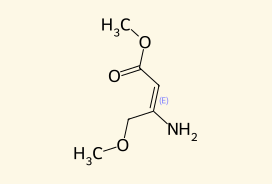 COC/C(N)=C\C(=O)OC